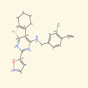 COc1ccc(CNc2nc(-c3ccno3)nc3sc4c(c23)CCCC4)cc1Cl